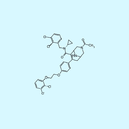 CC(=O)N1CC2CC(c3ccc(OCCOc4cccc(Cl)c4Cl)cc3)=C(C(=O)N(Cc3cccc(Cl)c3Cl)C3CC3)C(C1)N2